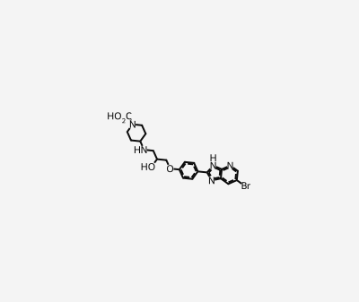 O=C(O)N1CCC(NCC(O)COc2ccc(-c3nc4cc(Br)cnc4[nH]3)cc2)CC1